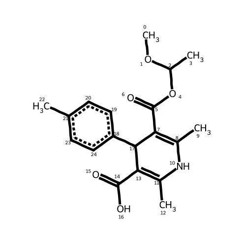 COC(C)OC(=O)C1=C(C)NC(C)=C(C(=O)O)C1c1ccc(C)cc1